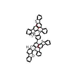 Cc1cc(-c2ccc(N(c3ccccc3-c3ccc4sc5ccccc5c4c3)c3cccc4c3oc3ccccc34)c(C)c2)ccc1N(c1ccccc1-c1ccc2sc3ccccc3c2c1)c1cccc2c1oc1ccccc12